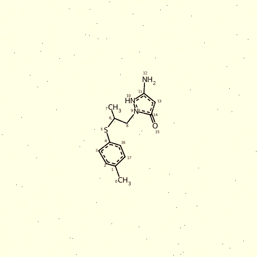 Cc1ccc(SC(C)Cn2[nH]c(N)cc2=O)cc1